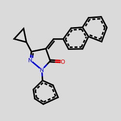 O=C1/C(=C\c2ccc3ccccc3c2)C(C2CC2)=NN1c1ccccc1